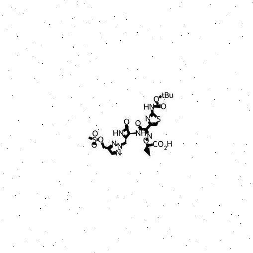 CC(C)(C)OC(=O)Nc1nc(C(=NOC2(C(=O)O)CC2)C(=O)N[C@@H]2C(=O)N[C@@H]2Cn2ncc(COS(C)(=O)=O)n2)cs1